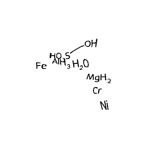 O.O=S(=O)(O)O.[AlH3].[Cr].[Fe].[MgH2].[Ni]